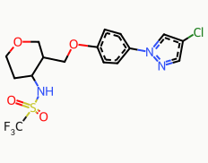 O=S(=O)(NC1CCOCC1COc1ccc(-n2cc(Cl)cn2)cc1)C(F)(F)F